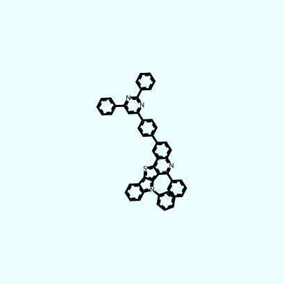 c1ccc(-c2cc(-c3ccc(-c4ccc5nc(-c6ccccc6)c6c(sc7c8ccccc8n(-c8ccccc8)c76)c5c4)cc3)nc(-c3ccccc3)n2)cc1